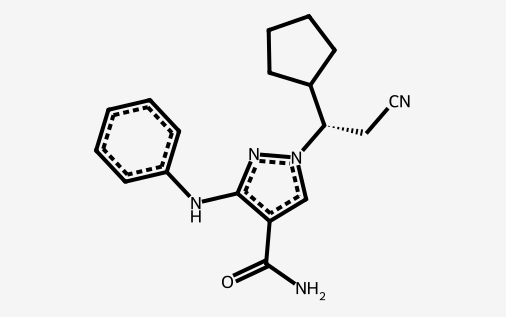 N#CC[C@@H](C1CCCC1)n1cc(C(N)=O)c(Nc2ccccc2)n1